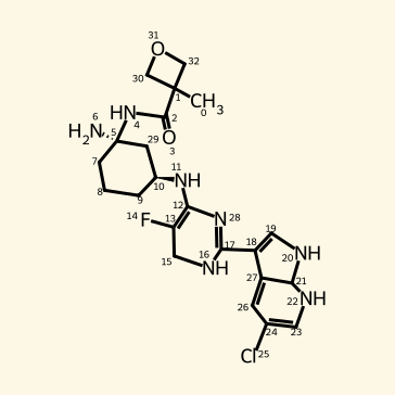 CC1(C(=O)N[C@]2(N)CCC[C@H](NC3=C(F)CNC(C4=CNC5NC=C(Cl)C=C45)=N3)C2)COC1